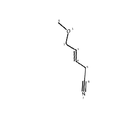 COCC=CCC#N